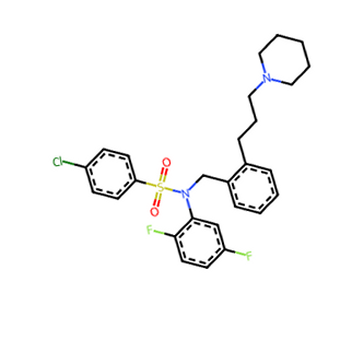 O=S(=O)(c1ccc(Cl)cc1)N(Cc1ccccc1CCCN1CCCCC1)c1cc(F)ccc1F